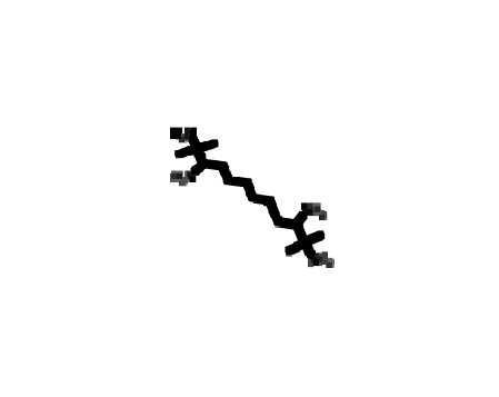 CC(C)(N)C(N)CCCCCCC(N)C(C)(C)N